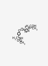 COC(=O)N[C@@H](C)c1ccc(OC2CCN(c3ncnc(OCC(C)(C)O)c3F)C2)cc1